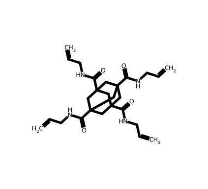 C=CCNC(=O)C12CC3(C(=O)NCC=C)CC(C(=O)NCC=C)(C1)CC(C(=O)NCC=C)(C2)C3